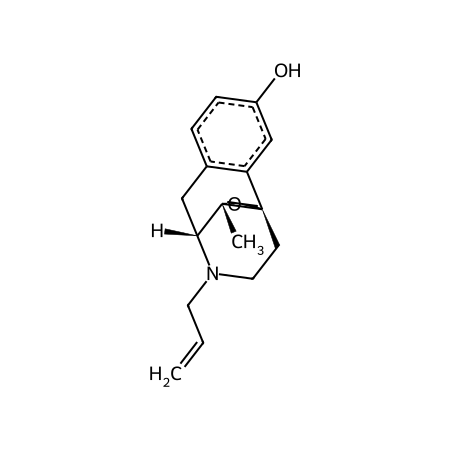 C=CCN1CC[C@]23CCCO[C@@]2(C)[C@H]1Cc1ccc(O)cc13